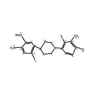 COc1cc(C2CCN(c3ccc(Cl)c(C)c3F)CC2)c(F)cc1N